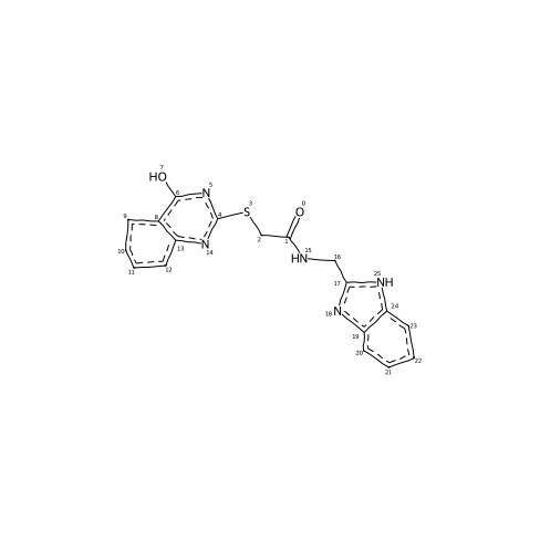 O=C(CSc1nc(O)c2ccccc2n1)NCc1nc2ccccc2[nH]1